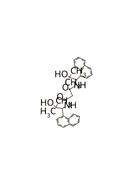 CC(C)(O)[C@@H](NC(=O)CC(=O)N[C@@H](c1cccc2ccccc12)C(C)(C)O)c1cccc2ccccc12